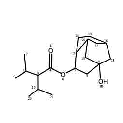 CC(C)C(C(=O)OC1CC2(O)CC3CCC1C(C3)C2)C(C)C